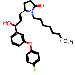 O=C(O)CCCCCCN1C(=O)CC[C@@H]1C=CC(O)c1cccc(Oc2ccc(F)cc2)c1